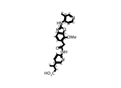 COc1c(CC(=O)Nc2ccc(C(C)CC(=O)O)cn2)ccc2nc(Nc3ccncc3C)oc12